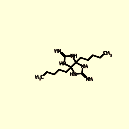 CCCCCC12NC(=N)NC1(CCCCC)NC(=N)N2